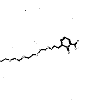 CCCSCCOCCOCCSCCCC1C=CC=C(C(=O)O)C1=S